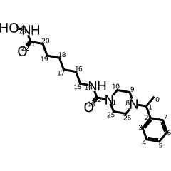 CC(c1ccccc1)N1CCN(C(=O)NCCCCCCC(=O)NO)CC1